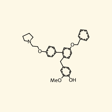 COc1cc(Cc2ccc(OCc3ccccc3)cc2-c2ccc(OCCN3CCCC3)cc2)ccc1O